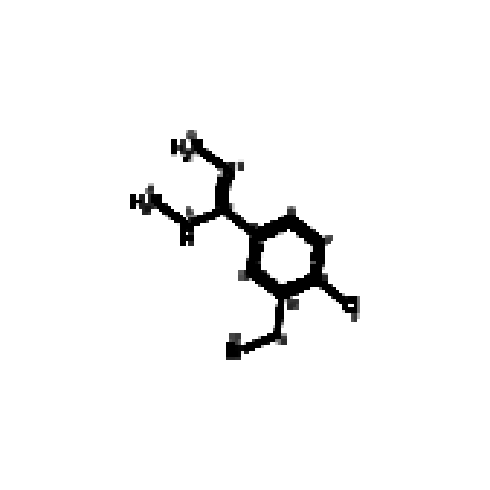 N/N=C(\NN)c1ccc(Cl)c(CBr)c1